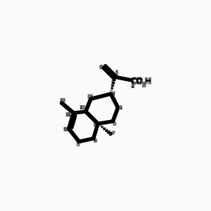 C=C(C(=O)O)[C@@H]1CC[C@@]2(C)CCC=C(C)C2C1